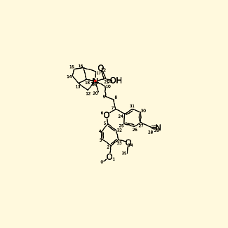 COc1ccc(OC(CCCN2CC3CCC(C2)C3N(C)C(=O)O)c2ccc(C#N)cc2)cc1OC